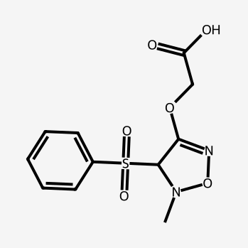 CN1ON=C(OCC(=O)O)C1S(=O)(=O)c1ccccc1